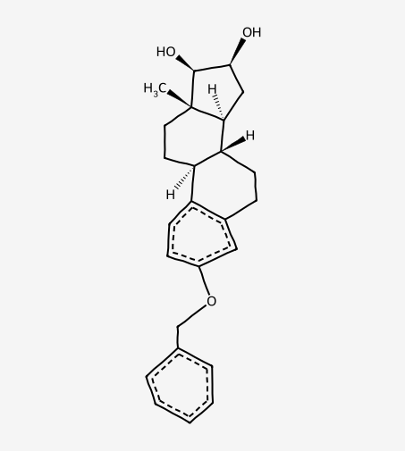 C[C@]12CC[C@@H]3c4ccc(OCc5ccccc5)cc4CC[C@H]3[C@@H]1C[C@H](O)[C@@H]2O